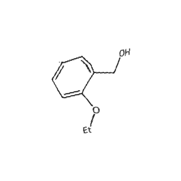 CCOc1cc[c]cc1CO